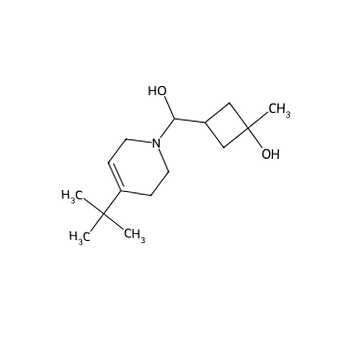 CC1(O)CC(C(O)N2CC=C(C(C)(C)C)CC2)C1